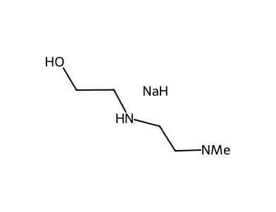 CNCCNCCO.[NaH]